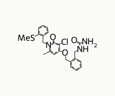 CSc1ccccc1Cn1c(C)cc(OCc2ccccc2CNC(N)=O)c(Cl)c1=O